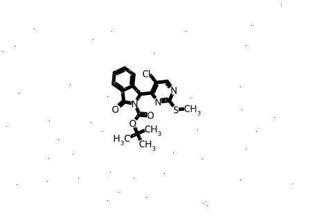 CSc1ncc(Cl)c(C2c3ccccc3C(=O)N2C(=O)OC(C)(C)C)n1